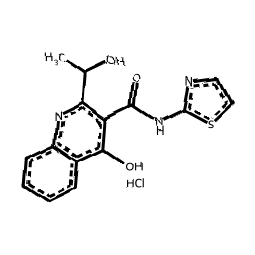 CC(O)c1nc2ccccc2c(O)c1C(=O)Nc1nccs1.Cl